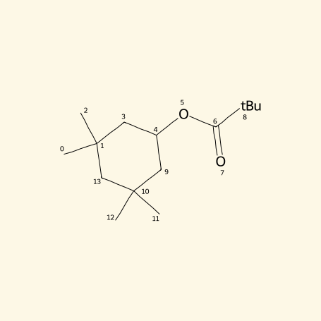 CC1(C)CC(OC(=O)C(C)(C)C)CC(C)(C)C1